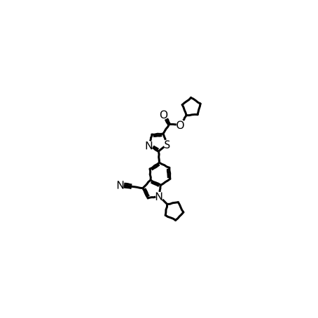 N#Cc1cn(C2CCCC2)c2ccc(-c3ncc(C(=O)OC4CCCC4)s3)cc12